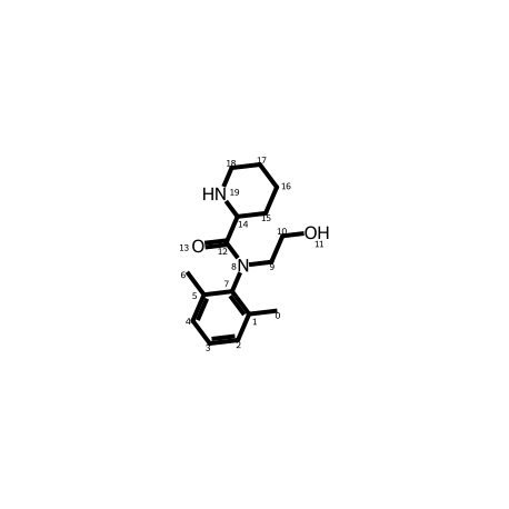 Cc1cccc(C)c1N(CCO)C(=O)C1CCCCN1